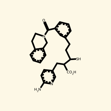 Nc1ccc(CC(C(=O)O)C(S)CCc2cccc(C(=O)N3CCc4ccccc4C3)c2)cn1